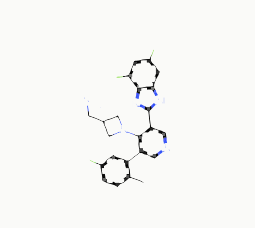 Cc1ccc(F)cc1-c1cncc(-c2nc3c(F)cc(F)cc3[nH]2)c1N1CC(CN)C1